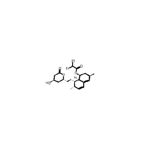 CCC(CC)C(=O)O[C@H]1C[C@@H](C)C=C2C=C[C@H](C)[C@H](CC[C@@H]3C[C@@H](O)CC(=O)O3)[C@H]21